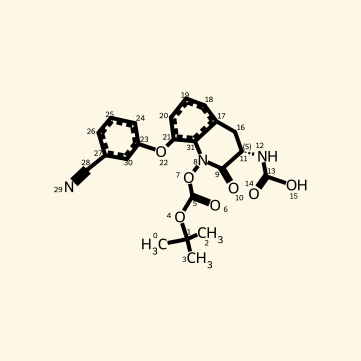 CC(C)(C)OC(=O)ON1C(=O)[C@@H](NC(=O)O)Cc2cccc(Oc3cccc(C#N)c3)c21